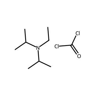 CCN(C(C)C)C(C)C.O=C(Cl)Cl